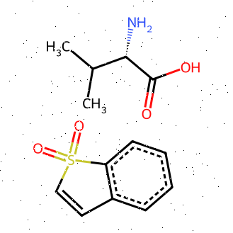 CC(C)[C@H](N)C(=O)O.O=S1(=O)C=Cc2ccccc21